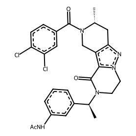 CC(=O)Nc1cccc([C@H](C)N2CCn3nc4c(c3C2=O)CN(C(=O)c2ccc(Cl)c(Cl)c2)[C@H](C)C4)c1